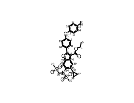 CCOC(=O)c1c(-c2ccc(Oc3ccc(F)cc3)cc2)oc2cc(N(CS(C)(=O)=O)S(C)(=O)=O)c(C3CC3)cc12